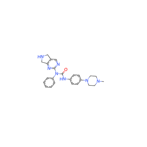 CN1CCN(c2ccc(NC(=O)N(c3ccccc3)c3ncc4c(n3)CNC4)cc2)CC1